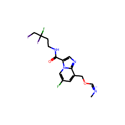 C/N=C\OCc1cc(F)cn2c(C(=O)NCCC(F)(I)CI)cnc12